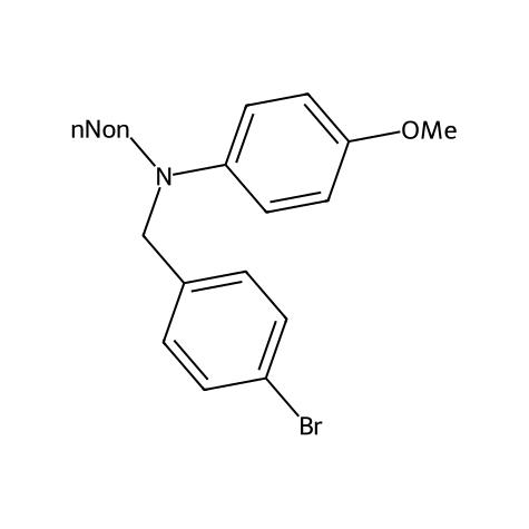 CCCCCCCCCN(Cc1ccc(Br)cc1)c1ccc(OC)cc1